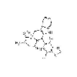 [2H]c1c([2H])c(C2c3[nH]c4ccccc4c3C[C@]3([2H])C(=O)N(C)CC(=O)N23)c([2H])c2c1OCO2